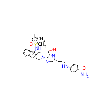 CC(C)(C)[S+]([O-])N[C@@H]1c2ccccc2CC12CCN(c1ncc(C#CCNc3ccc(C(N)=O)cc3)nc1CO)CC2